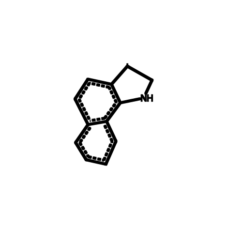 [CH]1CNc2c1ccc1ccccc21